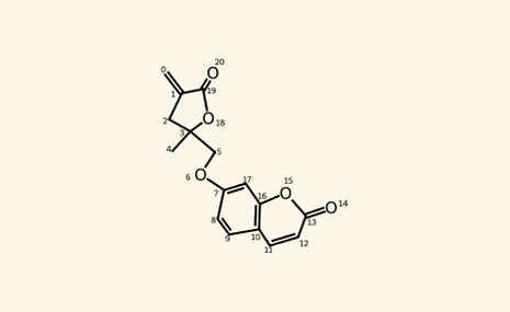 C=C1CC(C)(COc2ccc3ccc(=O)oc3c2)OC1=O